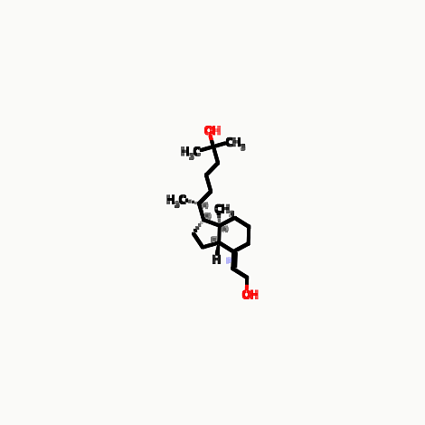 C[C@H](CCCC(C)(C)O)[C@H]1CC[C@H]2/C(=C/CO)CCC[C@]12C